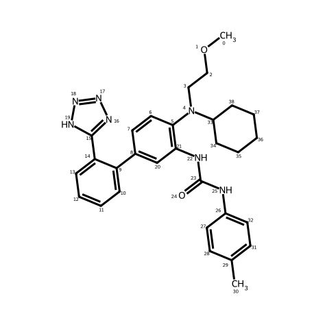 COCCN(c1ccc(-c2ccccc2-c2nnn[nH]2)cc1NC(=O)Nc1ccc(C)cc1)C1CCCCC1